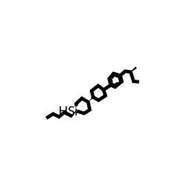 CCCCC[Si@H]1CC[C@H](C2CCC(c3ccc(C[C@@H](C)CC)cc3)CC2)CC1